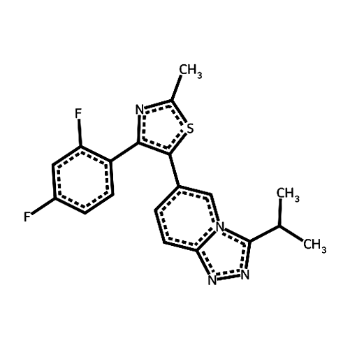 Cc1nc(-c2ccc(F)cc2F)c(-c2ccc3nnc(C(C)C)n3c2)s1